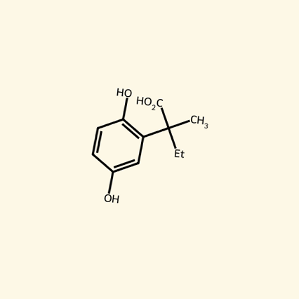 CCC(C)(C(=O)O)c1cc(O)ccc1O